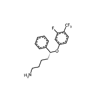 NCCCC[C@@H](Oc1ccc(C(F)(F)F)c(F)c1)c1ccccc1